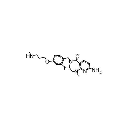 CNCCCOc1ccc(CN2CCN(C)c3nc(N)ccc3C2=O)c(F)c1